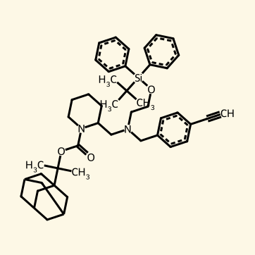 C#Cc1ccc(CN(CCO[Si](c2ccccc2)(c2ccccc2)C(C)(C)C)CC2CCCCN2C(=O)OC(C)(C)C23CC4CC(CC(C4)C2)C3)cc1